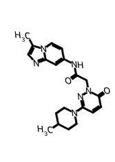 Cc1cnc2cc(NC(=O)Cn3nc(N4CCC(C)CC4)ccc3=O)ccn12